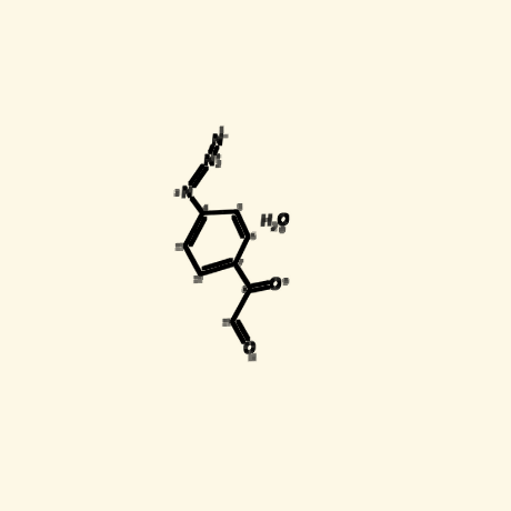 O.[N-]=[N+]=Nc1ccc(C(=O)C=O)cc1